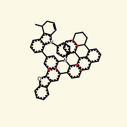 CC1CC=Cc2c1c1cccc(-c3cccc(N(c4ccccc4-c4ccc5oc6ccccc6c5c4)c4ccccc4-c4cccc5cccc(C6CCCCC6)c45)c3)c1n2-c1ccccc1